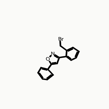 BrCc1ccccc1-c1cc(-c2ccccc2)on1